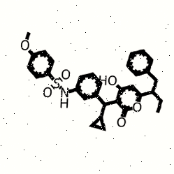 CCC(Cc1ccccc1)c1cc(O)c(C(c2cccc(NS(=O)(=O)c3ccc(OC)cc3)c2)C2CC2)c(=O)o1